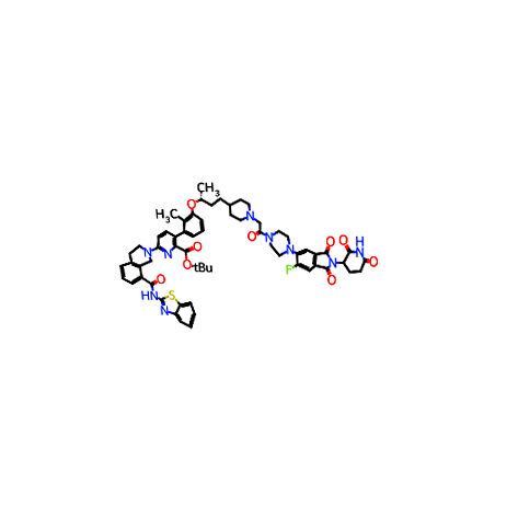 Cc1c(O[C@H](C)CCC2CCN(CC(=O)N3CCN(c4cc5c(cc4F)C(=O)N(C4CCC(=O)NC4=O)C5=O)CC3)CC2)cccc1-c1ccc(N2CCc3cccc(C(=O)Nc4nc5ccccc5s4)c3C2)nc1C(=O)OC(C)(C)C